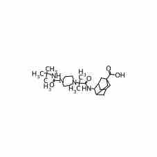 CC(C)(C)NC(=O)N1CCN(C(C)(C)C(=O)NC2C3CC4CC2CC(C(=O)O)(C4)C3)CC1